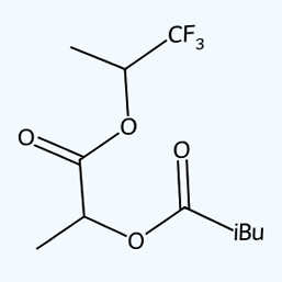 CCC(C)C(=O)OC(C)C(=O)OC(C)C(F)(F)F